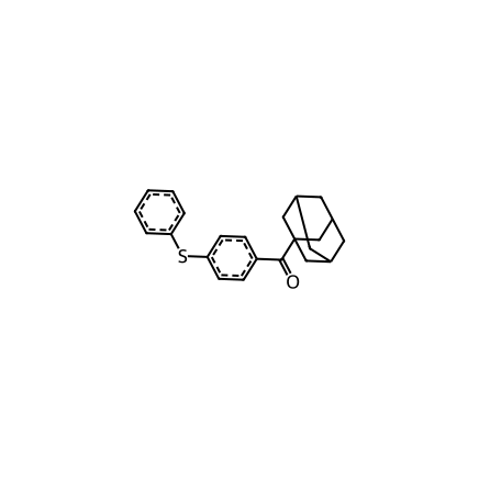 O=C(c1ccc(Sc2ccccc2)cc1)C12CC3CC(CC(C3)C1)C2